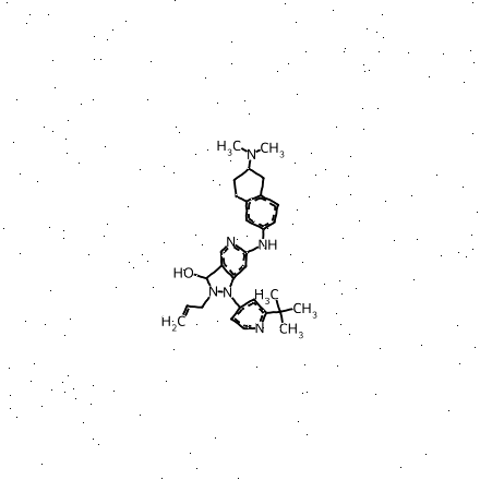 C=CCN1C(O)c2cnc(Nc3ccc4c(c3)CCC(N(C)C)C4)cc2N1c1ccnc(C(C)(C)C)c1